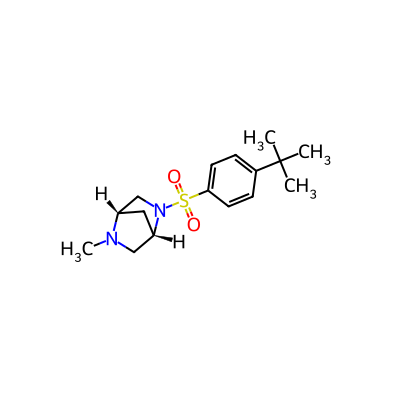 CN1C[C@@H]2C[C@H]1CN2S(=O)(=O)c1ccc(C(C)(C)C)cc1